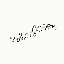 COC(=O)OC1=CCC2C(=O)C(c3ccc(OC(=O)OC)cc3)COC2=C1